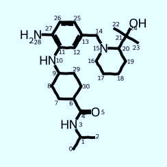 CC(C)NC(=O)C1CCC(Nc2cc(CN3CCCCC3C(C)(C)O)ccc2N)CC1